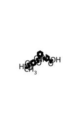 CNS(=O)(=O)c1ccc(S(=O)(=O)Nc2ccccc2N2CCC(C(=O)O)CC2)cc1